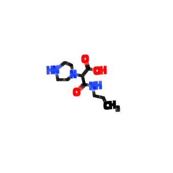 CCCNC(=O)C(C(=O)O)N1CCNCC1